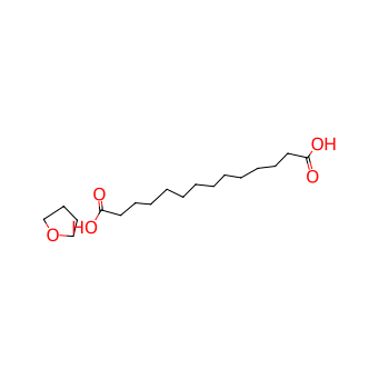 C1CCOC1.O=C(O)CCCCCCCCCCCCC(=O)O